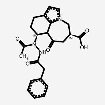 CC(=O)N(NC(=O)Cc1ccccc1)[C@H]1CCc2ccn3c2C1C(=O)C[C@H](C(=O)O)C3